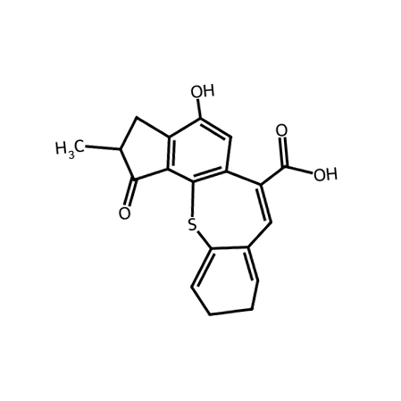 CC1Cc2c(O)cc3c(c2C1=O)SC1=CCCC=C1C=C3C(=O)O